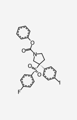 O=C(Oc1ccccc1)N1CC[C@@](c2ccc(I)cc2)(S(=O)(=O)c2ccc(F)cc2)C1